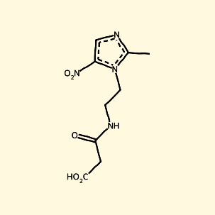 Cc1ncc([N+](=O)[O-])n1CCNC(=O)CC(=O)O